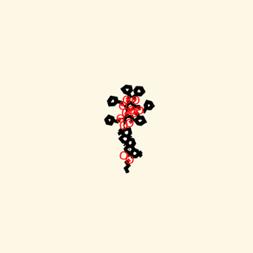 CCCCOC(=O)[C@]12CCC(C)(C)CC1C1=CCC3[C@@]4(C)CC[C@H](O[C@@H]5OC[C@@H](OCc6ccccc6)C(O[C@@H]6OC(COCc7ccccc7)[C@H](OCc7ccccc7)C(OCc7ccccc7)[C@@H]6OCc6ccccc6)[C@@H]5OCc5ccccc5)C(C)(C)C4CC[C@@]3(C)[C@]1(C)CC2